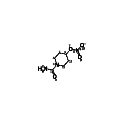 NC(=O)N1CCC(O[N+](=O)[O-])CC1